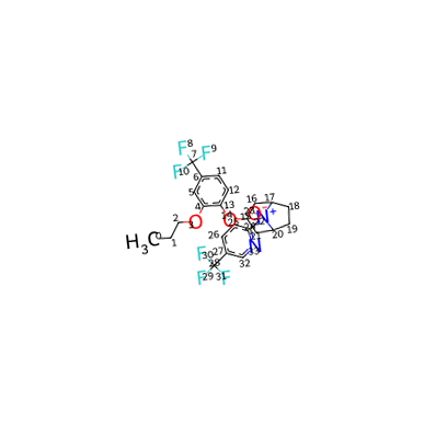 CCCOc1cc(C(F)(F)F)ccc1OC1CC2CCC(C1)[N+]2([O-])c1ccc(C(F)(F)F)cn1